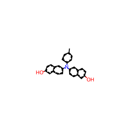 Cc1ccc(N(c2ccc3cc(O)ccc3c2)c2ccc3cc(O)ccc3c2)cc1